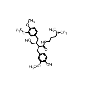 COc1cc(C[C@H](C(=O)NCCCN(C)C)[C@@H](CO)Cc2ccc(OC)c(OC)c2)ccc1O